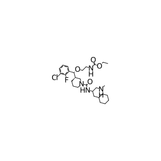 CCOC(=O)NCCO[C@@H](c1cccc(Cl)c1F)[C@@H]1CCCN(C(=O)NC(CNC)CC2CCCCC2)C1